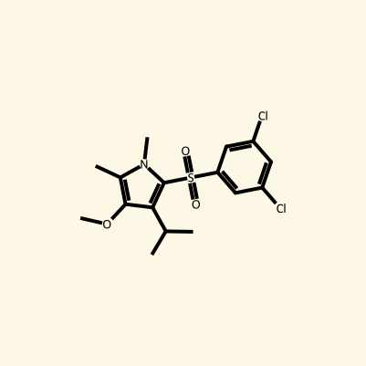 COc1c(C(C)C)c(S(=O)(=O)c2cc(Cl)cc(Cl)c2)n(C)c1C